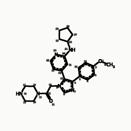 COc1ccc(-c2ncn(CC(=O)N3CCNCC3)c2-c2ccnc(NC3CCCC3)c2)cc1